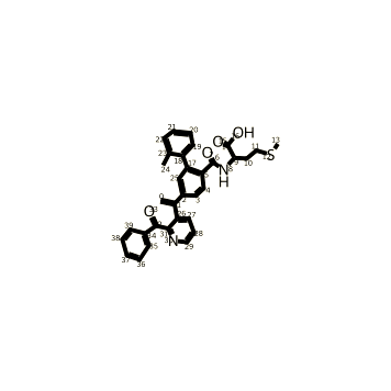 C=C(c1ccc(C(=O)NC(CCSC)C(=O)O)c(-c2ccccc2C)c1)c1cccnc1C(=O)c1ccccc1